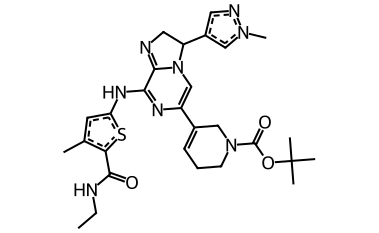 CCNC(=O)c1sc(NC2=NC(C3=CCCN(C(=O)OC(C)(C)C)C3)=CN3C2=NCC3c2cnn(C)c2)cc1C